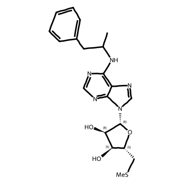 CSC[C@H]1O[C@@H](n2cnc3c(NC(C)Cc4ccccc4)ncnc32)[C@H](O)[C@@H]1O